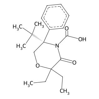 CCC1(CC)OC[C@](c2ccccc2)(C(C)(C)C)N(C(=O)O)C1=O